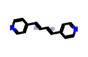 C(/C=C/c1ccncc1)=C\c1ccncc1